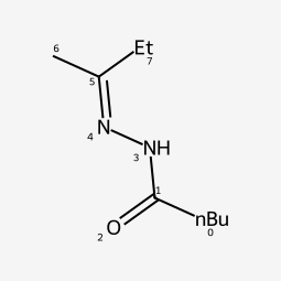 CCCCC(=O)N/N=C(/C)CC